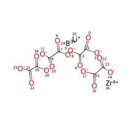 O=C([O-])C(=O)[O-].O=C([O-])C(=O)[O-].O=C([O-])C(=O)[O-].O=C([O-])C(=O)[O-].[B+3].[Li+].[Zr+4]